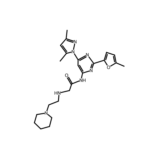 Cc1cc(C)n(-c2cc(NC(=O)CNCCN3CCCCC3)nc(-c3ccc(C)o3)n2)n1